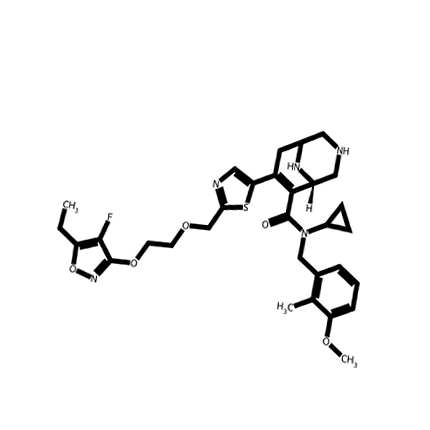 CCc1onc(OCCOCc2ncc(C3=C(C(=O)N(Cc4cccc(OC)c4C)C4CC4)[C@H]4CNCC(C3)N4)s2)c1F